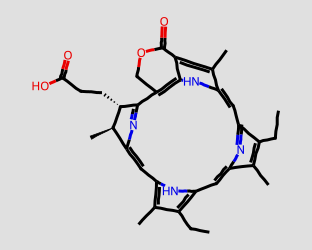 CCC1=C(C)c2cc3[nH]c(cc4nc(c5c6[nH]c(cc1n2)c(C)c6C(=O)OC5)[C@@H](CCC(=O)O)[C@@H]4C)c(C)c3CC